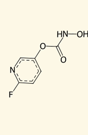 O=C(NO)Oc1ccc(F)nc1